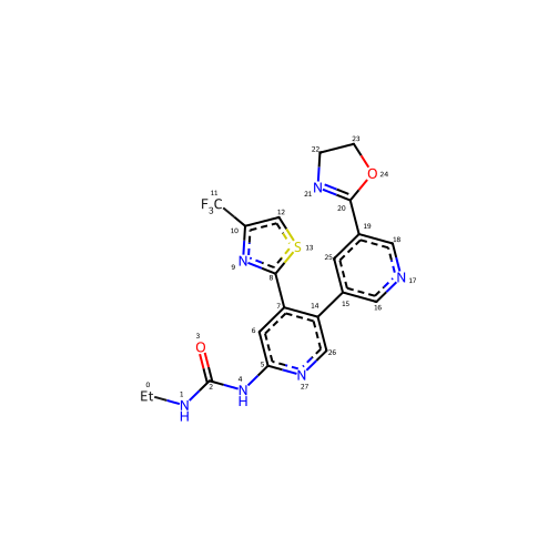 CCNC(=O)Nc1cc(-c2nc(C(F)(F)F)cs2)c(-c2cncc(C3=NCCO3)c2)cn1